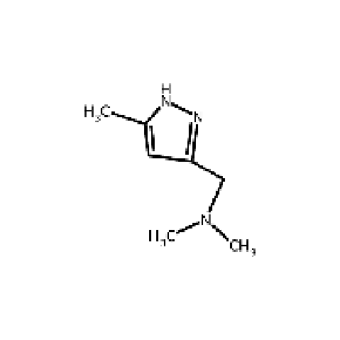 Cc1cc(CN(C)C)n[nH]1